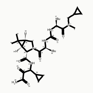 CN(CC1CC1)C(=O)[C@@H](NC(=O)N[C@H](C(=O)N1C[C@H]2[C@@H]([C@H]1C(=O)NC(C(=O)C(N)=O)C1CC1)C2(C)C)C(C)(C)C)C(C)(C)C